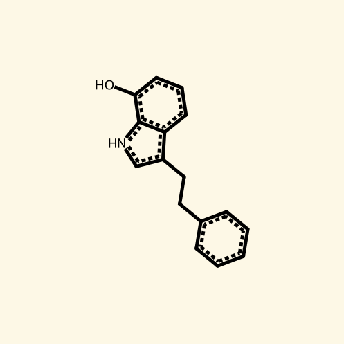 Oc1cccc2c(CCc3ccccc3)c[nH]c12